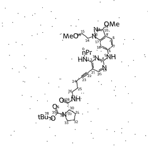 CCCNc1nc(Nc2ccc3c(OC)nn(CCOC)c3c2)ncc1C#CCCCNC(=O)[C@@H]1CCCN1C(=O)OC(C)(C)C